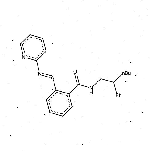 CCCCC(CC)CNC(=O)c1ccccc1N=Nc1ccccn1